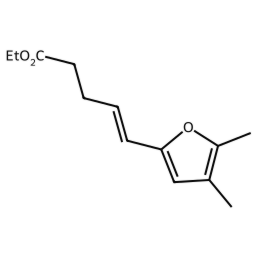 CCOC(=O)CCC=Cc1cc(C)c(C)o1